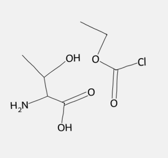 CC(O)C(N)C(=O)O.CCOC(=O)Cl